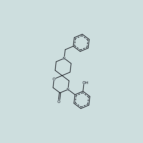 O=C1COC2(CCN(Cc3ccccc3)CC2)CN1c1ccccc1O